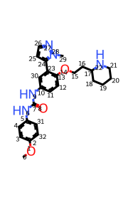 COc1ccc(NC(=O)Nc2ccc(OCCC3CCCCN3)c(-c3ccnn3C)c2)cc1